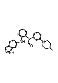 CN1CCN(c2cccc(N(C=O)c3cccnc3Nc3ccc4cn[nH]c4c3)c2)CC1